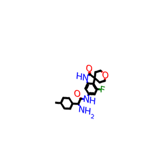 CC1CCC(C(N)C(=O)Nc2cc(F)c3c(c2)NC(=O)C32CCOCC2)CC1